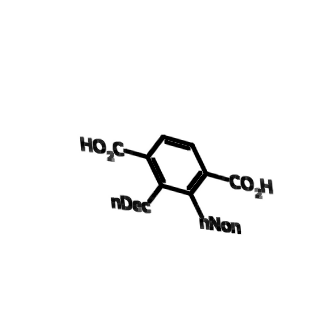 CCCCCCCCCCc1c(C(=O)O)ccc(C(=O)O)c1CCCCCCCCC